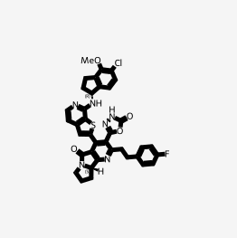 COc1c(Cl)ccc2c1CC[C@H]2Nc1nccc2cc(-c3c4c(nc(CCc5ccc(F)cc5)c3-c3n[nH]c(=O)o3)[C@@H]3CCCN3C4=O)sc12